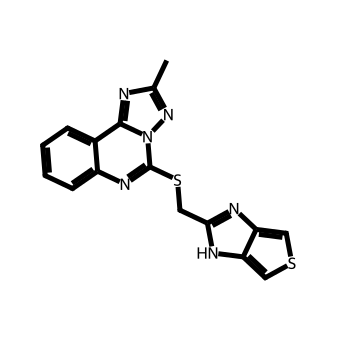 Cc1nc2c3ccccc3nc(SCc3nc4cscc4[nH]3)n2n1